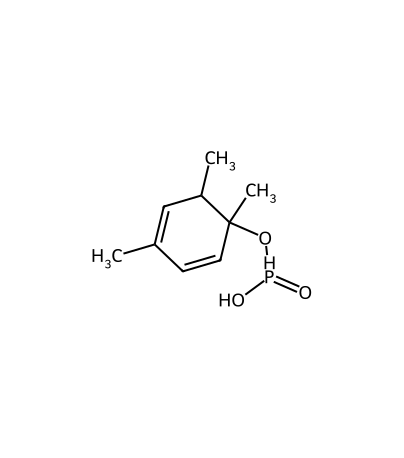 CC1=CC(C)C(C)(O[PH](=O)O)C=C1